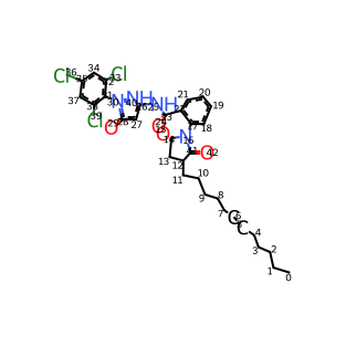 CCCCCCCCCCCCC1CC(=O)N(c2ccccc2C(=O)Nc2cc(=O)n(-c3c(Cl)cc(Cl)cc3Cl)[nH]2)C1=O